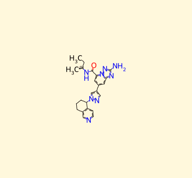 CC[C@H](C)NC(=O)c1cc(-c2cnn(C3CCCc4cnccc43)c2)cc2nc(N)nn12